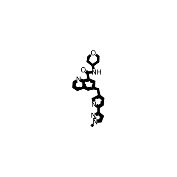 Cn1ccc(-c2ccc(Cc3cc(C(=O)NC4CCOCC4)c4ncccc4c3)cn2)n1